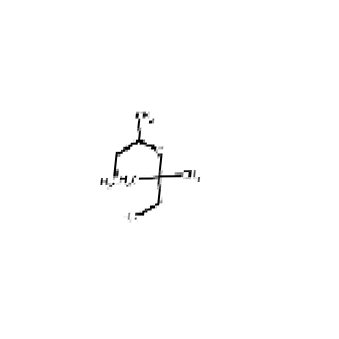 [CH2]C(CC)OC(C)(C)CC